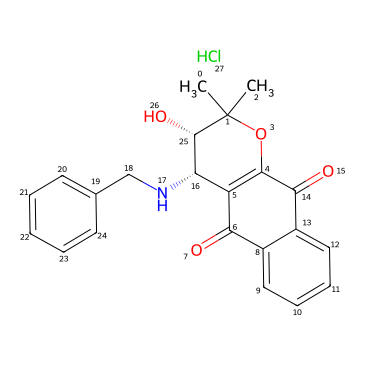 CC1(C)OC2=C(C(=O)c3ccccc3C2=O)[C@H](NCc2ccccc2)[C@@H]1O.Cl